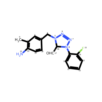 Cc1cc(CN2N=NN(c3ccccc3F)C2C=O)ccc1N